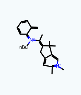 C=C1C=CC=C/C1=[N+](CCCC)/C(C)=C1\Cc2cc(C)[n+](C)cc2C1(C)C